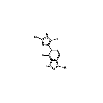 CCc1nc(-c2ccc3c(N)n[nH]c3c2F)c(Cl)[nH]1